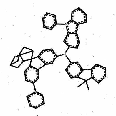 CC1(C)c2ccccc2-c2cc(N(c3ccc4c(c3)-c3cc(-c5ccccc5)ccc3C43C4CC5CC(C4)C3C5)c3ccc4c5ccccc5n(-c5ccccc5)c4c3)ccc21